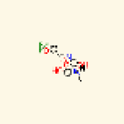 C=CCN1CC[C@]23c4c5ccc(O)c4OC2C(N(C)C(=O)/C=C/c2cccc(OC(F)(F)F)c2)CC[C@@]3(O)[C@H]1C5